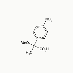 COC(C)(C(=O)O)c1ccc([N+](=O)[O-])cc1